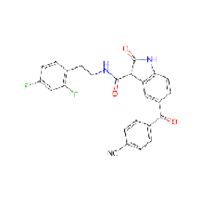 N#Cc1ccc(C(=O)c2ccc3c(c2)C(C(=O)NCCc2ccc(F)cc2F)C(=O)N3)cc1